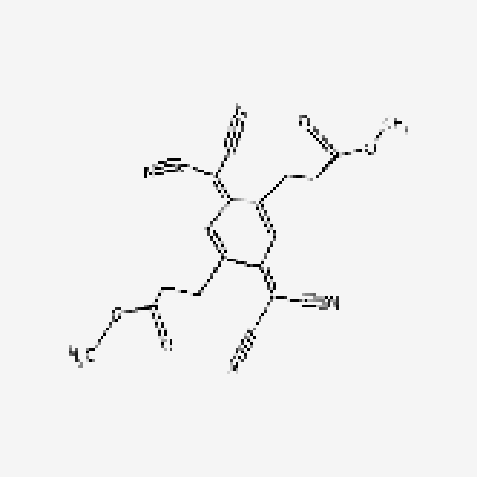 COC(=O)CCc1cc(=C(C#N)C#N)c(CCC(=O)OC)cc1=C(C#N)C#N